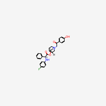 O=C(C[N+]12CCC(CC1)[C@@H](OC(=O)[C@@H](Nc1ccc(F)cc1)c1ccccc1)C2)c1ccc(O)cc1